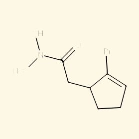 CN(C)C(=O)CC1CCC=C1Br